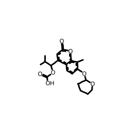 Cc1c(OC2CCCCO2)ccc2c(C(OC(=O)O)C(C)C)cc(=O)oc12